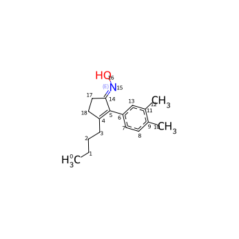 CCCCC1=C(c2ccc(C)c(C)c2)/C(=N/O)CC1